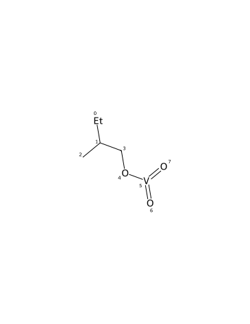 CCC(C)C[O][V](=[O])=[O]